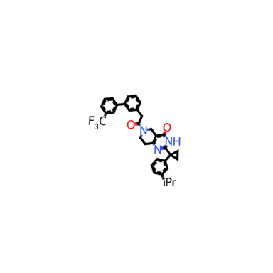 CC(C)c1cccc(C2(c3nc4c(c(=O)[nH]3)CN(C(=O)Cc3cccc(-c5cccc(C(F)(F)F)c5)c3)CC4)CC2)c1